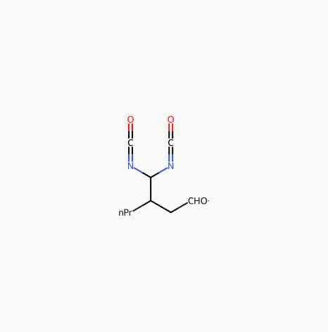 [CH2]CCC(C[C]=O)C(N=C=O)N=C=O